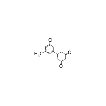 Cc1cc(Cl)cc(C2CC(=O)CC(=O)C2)c1